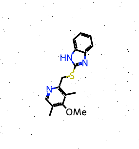 COc1c(C)cnc(CSc2nc3ccccc3[nH]2)c1C